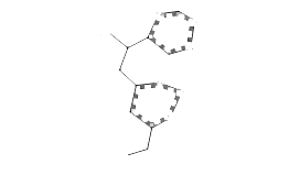 CCc1cc(CC(C)c2cnncn2)nnn1